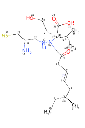 CC[C@H](C)C/C=C/CC(=O)N(NCC(N)CS)[C@@](CCO)(C(=O)O)C(C)C